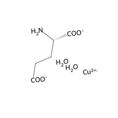 N[C@@H](CCC(=O)[O-])C(=O)[O-].O.O.[Cu+2]